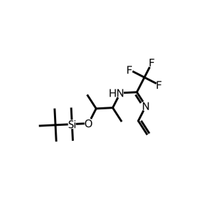 C=C/N=C(\NC(C)C(C)O[Si](C)(C)C(C)(C)C)C(F)(F)F